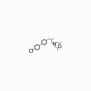 CC(Cc1ccc(-c2ccc(Cl)cc2)cc1)CN1CC(C)OC(C)C1